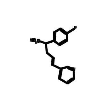 O=C(O)C(CC=Cc1cccnc1)c1ccc(F)cc1